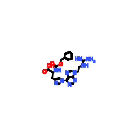 N=C(N)NCCn1cnc2c(-n3cnc(C[C@H](NC(=O)OCc4ccccc4)C(=O)O)c3)ncnc21